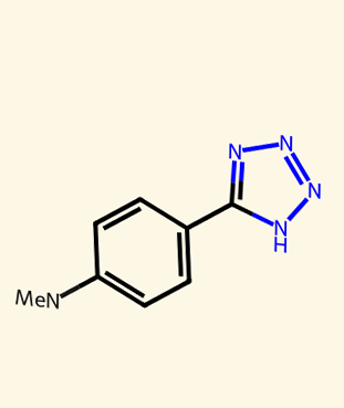 CNc1ccc(-c2nnn[nH]2)cc1